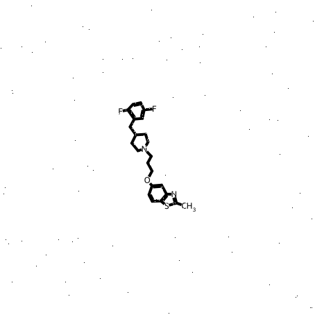 Cc1nc2cc(OCCCN3CCC(Cc4cc(F)ccc4F)CC3)ccc2s1